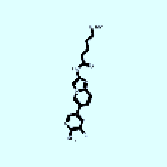 CC(=O)NCCCCC(=O)Nc1cn2cc(-c3cnc(N)c(Cl)c3)ccc2n1